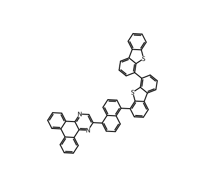 c1ccc2c(c1)sc1c(-c3cccc4c3sc3c(-c5cccc6c(-c7cnc8c9ccccc9c9ccccc9c8n7)cccc56)cccc34)cccc12